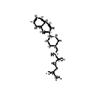 NC(=O)COC(=O)NCC1CCN(c2ccc3ccccc3n2)CC1